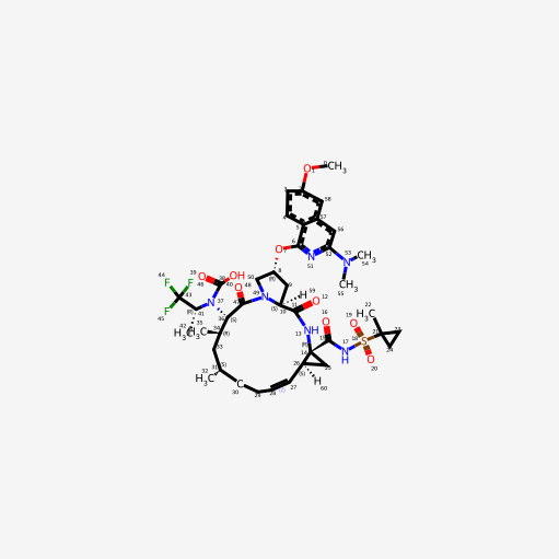 COc1ccc2c(O[C@@H]3C[C@H]4C(=O)N[C@]5(C(=O)NS(=O)(=O)C6(C)CC6)C[C@H]5/C=C\CC[C@H](C)C[C@@H](C)[C@H](N(C(=O)O)[C@H](C)C(F)(F)F)C(=O)N4C3)nc(N(C)C)cc2c1